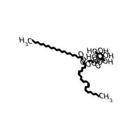 CCCCC/C=C\C/C=C\C/C=C\C/C=C\CCCC(=O)O[C@H](COC(=O)CCCCCCCCCCCCCCCCCCC)COP(=O)(O)OC1C(O)C(O)C(O)[C@@H](O)C1O